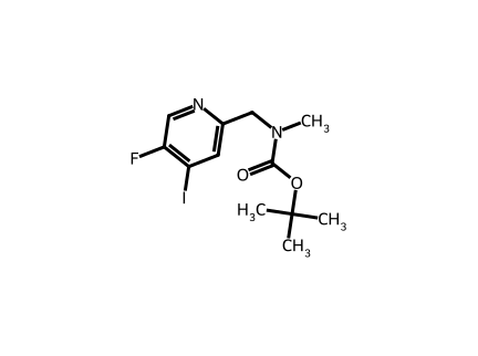 CN(Cc1cc(I)c(F)cn1)C(=O)OC(C)(C)C